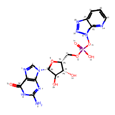 Nc1nc2c(ncn2[C@@H]2O[C@H](COP(=O)(O)On3nnc4cccnc43)[C@H](O)C2O)c(=O)[nH]1